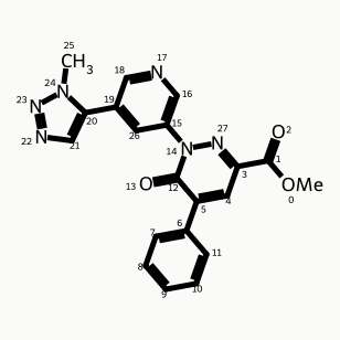 COC(=O)c1cc(-c2ccccc2)c(=O)n(-c2cncc(-c3cnnn3C)c2)n1